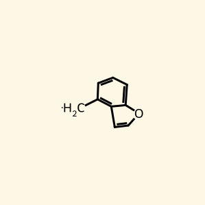 [CH2]c1cccc2occc12